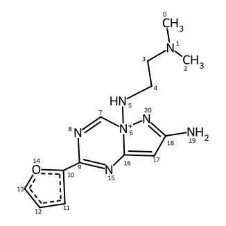 CN(C)CCN[N+]12C=NC(c3ccco3)=NC1=CC(N)=N2